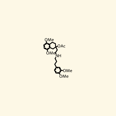 COc1ccc(CCCNCCC2(OC(C)=O)CCc3c(OC)ccc(OC)c3C2)cc1OC